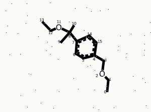 CCOCc1ccc(C(C)(C)OCC)cc1